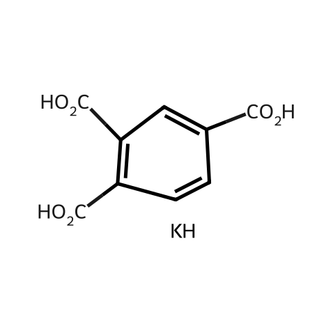 O=C(O)c1ccc(C(=O)O)c(C(=O)O)c1.[KH]